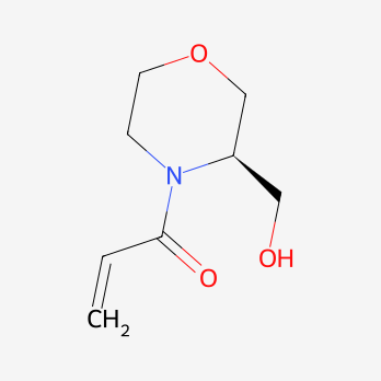 C=CC(=O)N1CCOC[C@H]1CO